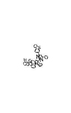 CC1(C)c2cc3ccccc3cc2-c2cccc(-c3ccc(-c4nc(-c5ccccc5)cc(-c5ccc6c(c5)sc5ccccc56)n4)c4ccccc34)c21